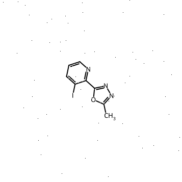 Cc1nnc(-c2ncccc2I)o1